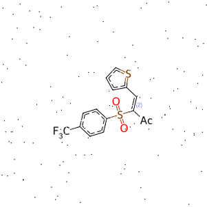 CC(=O)/C(=C/c1cccs1)S(=O)(=O)c1ccc(C(F)(F)F)cc1